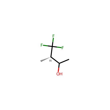 CC(O)[C@H](C)C(F)(F)F